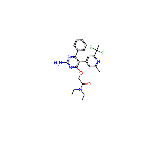 CCN(CC)C(=O)COc1nc(N)nc(-c2ccccc2)c1-c1cc(C)nc(C(C)(F)F)c1